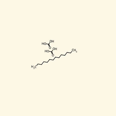 CCCCCCCCCCCCCC.O=C(O)O.O=C(O)O